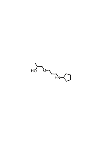 CC(O)COCCCNC1CCCC1